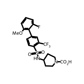 COc1cccc(F)c1-c1ccc(S(=O)(=O)NC2CCN(C(=O)O)CC2)c(C(F)(F)F)c1